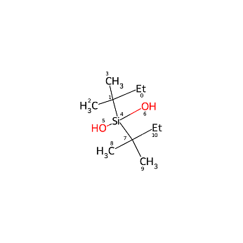 CCC(C)(C)[Si](O)(O)C(C)(C)CC